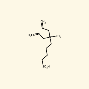 C=CC[N+](C)(CC=C)CCCCS(=O)(=O)O